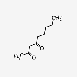 [CH2]CCCCC(=O)CC(C)=O